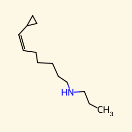 CCCNCCCCC/C=C\C1CC1